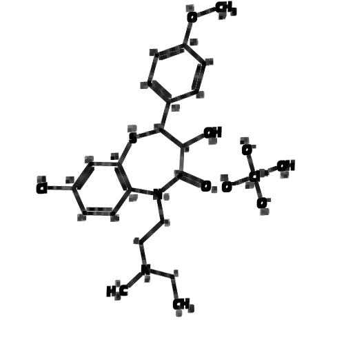 CCN(C)CCN1C(=O)C(O)C(c2ccc(OC)cc2)Sc2cc(Cl)ccc21.[O-][Cl+3]([O-])([O-])O